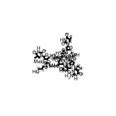 COC1C(OP(=O)(S)OC[C@H]2O[C@@H](n3cc(C)c(=O)[nH]c3=O)C(OC)C2OP(=O)(OCCCO)SC)[C@@H](COP(=O)(S)OC2C[C@H](n3cc(C)c(=O)[nH]c3=O)O[C@@H]2COP(=O)(S)OC2C[C@H](n3cnc4c(=O)[nH]c(N)nc43)O[C@@H]2COP(=O)(S)OC(C)C)O[C@H]1n1cc(C)c(=O)[nH]c1=O